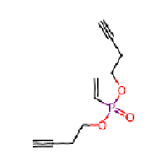 C#CCCOP(=O)(C=C)OCCC#C